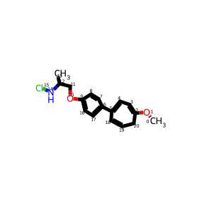 COC1=CC=C(c2ccc(OCC(C)NCl)cc2)C=CC1